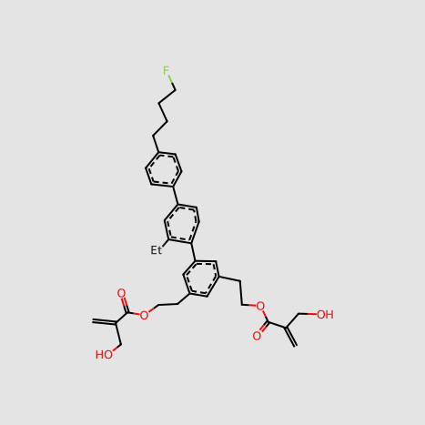 C=C(CO)C(=O)OCCc1cc(CCOC(=O)C(=C)CO)cc(-c2ccc(-c3ccc(CCCCF)cc3)cc2CC)c1